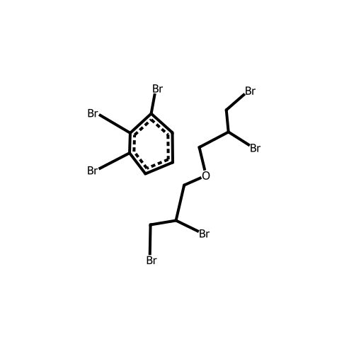 BrCC(Br)COCC(Br)CBr.Brc1cccc(Br)c1Br